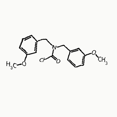 COc1cccc(CN(Cc2cccc(OC)c2)C(=O)Cl)c1